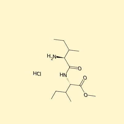 CCC(C)[C@H](N)C(=O)N[C@H](C(=O)OC)C(C)CC.Cl